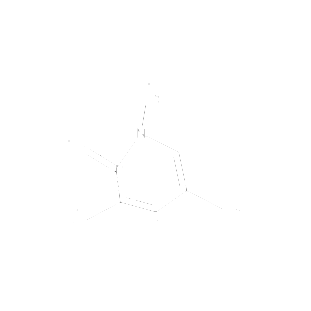 CC(C)c1cc(Cl)c(=O)n(C(C)C)c1